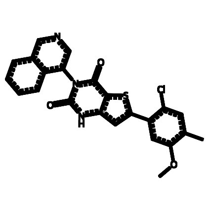 COc1cc(-c2cc3[nH]c(=O)n(-c4cncc5ccccc45)c(=O)c3s2)c(Cl)cc1C